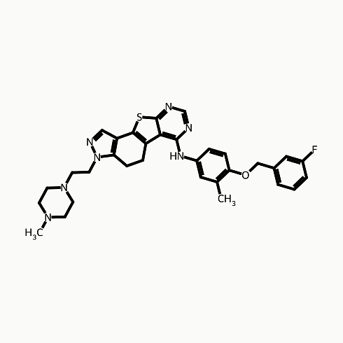 Cc1cc(Nc2ncnc3sc4c(c23)CCc2c-4cnn2CCN2CCN(C)CC2)ccc1OCc1cccc(F)c1